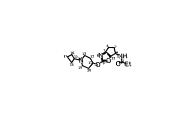 CCC(=O)NC1CCc2nc(OC3CCN(C4CCC4)CC3)oc21